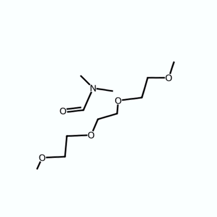 CN(C)C=O.COCCOCCOCCOC